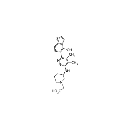 Cc1c(N[C@@H]2CCCN(CC(=O)O)C2)nnc(-c2ccc3sccc3c2O)c1C